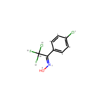 ON=C(c1ccc(Cl)cc1)C(F)(F)Cl